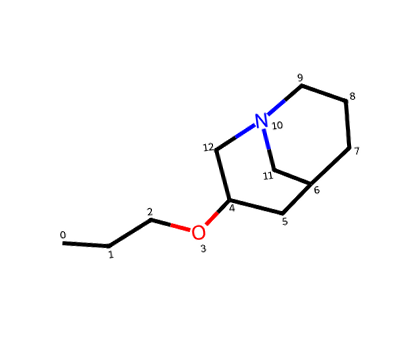 CCCOC1CC2CCCN(C2)C1